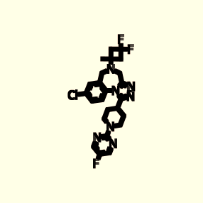 CC1(N2Cc3cc(Cl)ccc3-n3c(nnc3C3CCN(c4ncc(F)cn4)CC3)C2)CC(F)(F)C1